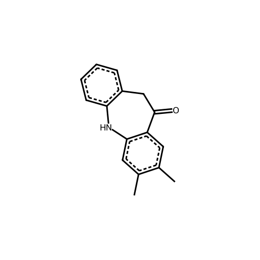 Cc1cc2c(cc1C)C(=O)Cc1ccccc1N2